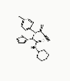 C#CC(=O)N(c1ccc(C)cc1)C(C(=O)NC1CCCCC1)c1cccs1